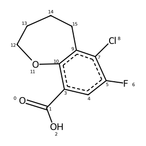 O=C(O)c1cc(F)c(Cl)c2c1OCCCC2